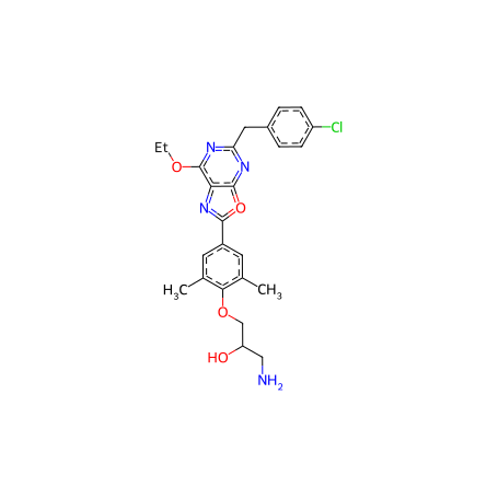 CCOc1nc(Cc2ccc(Cl)cc2)nc2oc(-c3cc(C)c(OCC(O)CN)c(C)c3)nc12